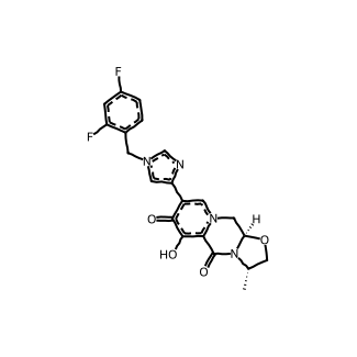 C[C@H]1CO[C@@H]2Cn3cc(-c4cn(Cc5ccc(F)cc5F)cn4)c(=O)c(O)c3C(=O)N12